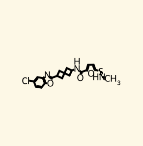 CNSc1ccc(C(=O)NC2CC3(C2)CC(c2nc4cc(Cl)ccc4o2)C3)o1